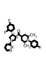 C[C@@H]1CC(C(=O)[C@H]2CN(c3cccnn3)C[C@@H]2c2ccc(F)cc2F)C[C@H](C)N1c1ccc(F)cc1